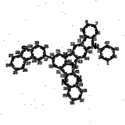 c1ccc(-n2c3ccccc3c3cc4c5cc(-c6ccc7sc8ccccc8c7c6)cc6c7nc8ccccc8nc7n(c4cc32)c56)cc1